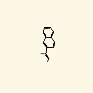 CC=C(CC)c1ccc2ccccc2c1